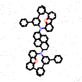 CCCc1cccc2c1oc1c(N(c3cc(-c4ccccc4)cc(-c4ccccc4)c3)c3ccc4ccc5c6c(ccc3c46)=CCC5N(c3cc(-c4ccccc4)cc(-c4ccccc4)c3)c3cccc4c3oc3c(CCC)cccc34)cccc12